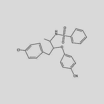 CC(NS(=O)(=O)c1ccccc1)C(Cc1ccc(Cl)cc1)Oc1ccc(C#N)cc1